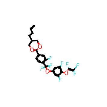 C=CCCC1COC(c2ccc(C(F)(F)Oc3cc(F)c(OC(F)=C(F)F)c(F)c3)c(F)c2)OC1